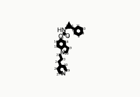 O=C(NC1CC1c1ccccc1)Oc1ccc2c(c1)CCN2CCCc1ccncc1